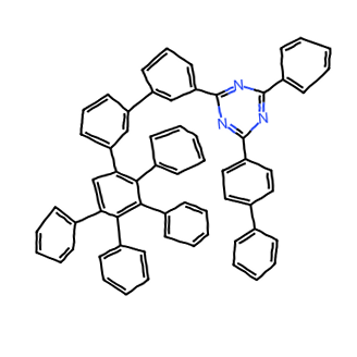 c1ccc(-c2ccc(-c3nc(-c4ccccc4)nc(-c4cccc(-c5cccc(-c6cc(-c7ccccc7)c(-c7ccccc7)c(-c7ccccc7)c6-c6ccccc6)c5)c4)n3)cc2)cc1